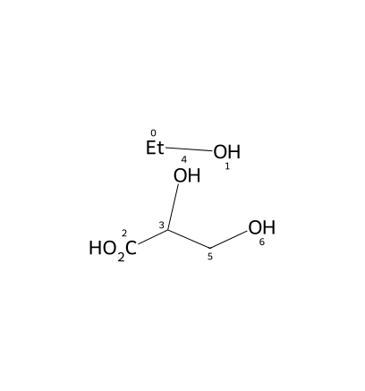 CCO.O=C(O)C(O)CO